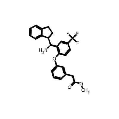 COC(=O)Cc1cccc(Oc2ccc(C(F)(F)F)cc2[C@@H](N)C2CCc3ccccc32)c1